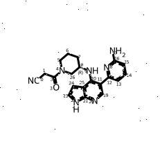 N#CCC(=O)N1CCC[C@@H](Nc2c(-c3cccc(N)n3)cnc3[nH]ccc23)C1